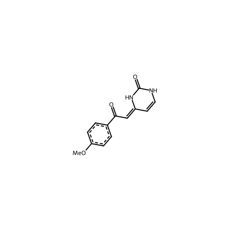 COc1ccc(C(=O)C=C2C=CNC(=O)N2)cc1